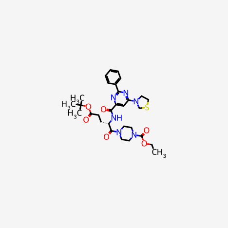 CCOC(=O)N1CCN(C(=O)[C@H](CCC(=O)OC(C)(C)C)NC(=O)c2cc(N3CCSC3)nc(-c3ccccc3)n2)CC1